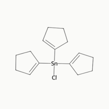 [Cl][Sn]([C]1=CCCC1)([C]1=CCCC1)[C]1=CCCC1